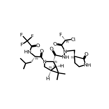 CC(C)C[C@H](NC(=O)C(F)(F)F)C(=O)N1C[C@H]2[C@@H]([C@H]1C(=O)NN(C[C@@H]1CCNC1=O)C(=O)[C@H](F)Cl)C2(C)C